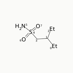 CCC(CC)CS(N)(=O)=O